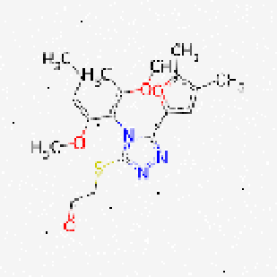 CC/C=C(OC)\C(=C(/C)OC)n1c(SCC=O)nnc1-c1cc(C)c(C)o1